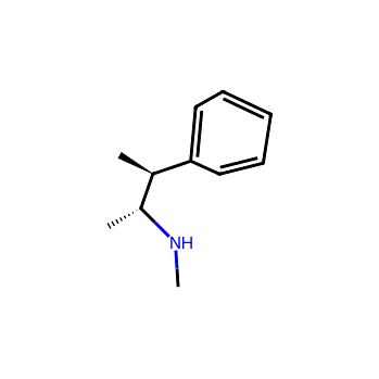 CN[C@H](C)[C@@H](C)c1ccccc1